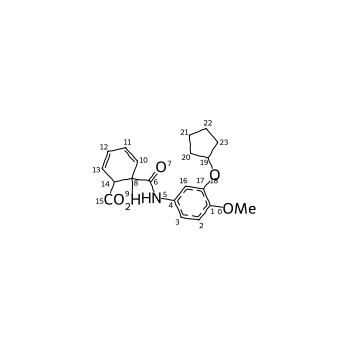 COc1ccc(NC(=O)C2(C)C=CC=CC2C(=O)O)cc1OC1CCCC1